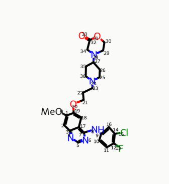 COc1cc2ncnc(Nc3ccc(F)c(Cl)c3)c2cc1OCCCN1CCC(N2CCOC(=O)C2)CC1